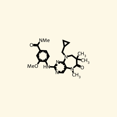 CNC(=O)c1ccc(Nc2ncc3c(n2)N(CC2CC2)CC(C)(C)C(=O)N3C)c(OC)c1